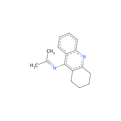 CC(C)=Nc1c2c(nc3ccccc13)CCCC2